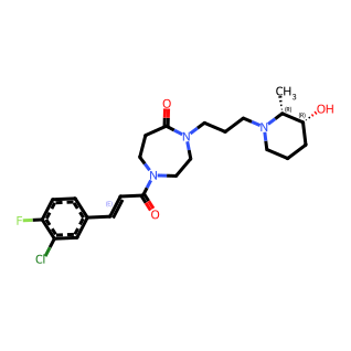 C[C@@H]1[C@H](O)CCCN1CCCN1CCN(C(=O)/C=C/c2ccc(F)c(Cl)c2)CCC1=O